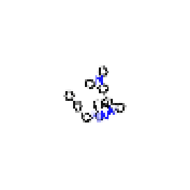 CC/C=C(/C=C\NCn1c2ccccc2c2cc(-c3ccc4c(c3)c3ccccc3n4-c3ccccc3)ccc21)c1cccc(-c2ccc(-c3ccccc3)cc2)c1